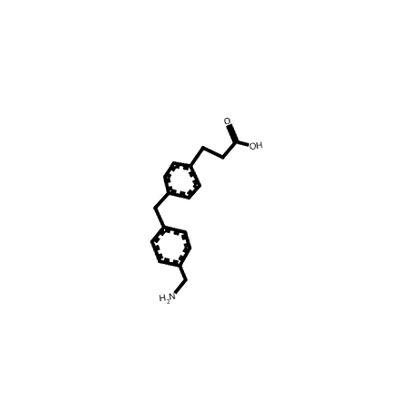 NCc1ccc(Cc2ccc(CCC(=O)O)cc2)cc1